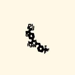 COC(=O)c1coc2cc(C(SC(=N)Cc3cccc(C(F)(F)F)c3)C(C)I)ccc12